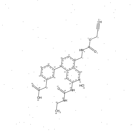 C#CCOC(=O)NCc1ccc(-c2cccc(CC(=O)O)c2)c2cc(NC(=O)NCC)ncc12.Cl